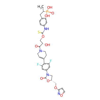 CC(Cc1ccc(NC(=S)OC[C@H](O)C(=O)N2CC=C(c3c(F)cc(N4C[C@H](COc5ccon5)OC4=O)cc3F)CC2)cc1)P(=O)(O)O